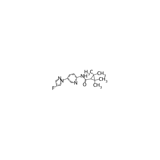 CC1(C)C(C(=O)Nc2ccc(-n3cc(F)cn3)cn2)C1(C)C